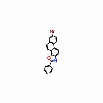 Brc1ccc2c(ccc3c2ccc2nc(-c4ccccc4)oc23)c1